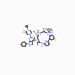 CO[C@H]1CN(C)C(=O)[C@@H]2C[C@@H](CN2c2nc(N3CCN(C4CC4)C(=O)C3)nc3c2cnn3-c2ccc(F)cc2F)Nc2cccc(n2)-c2cc(F)cc3nc(C)n(c23)C1